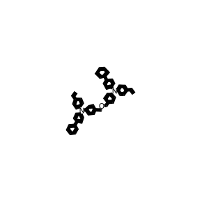 C=Cc1ccc(N(c2ccc(COCc3ccc(N(c4ccc(C=C)cc4)c4ccc(-c5ccccc5)cc4)cc3)cc2)c2ccc(-c3ccccc3)cc2)cc1